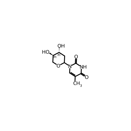 Cc1cn(C2C[C@@H](O)[C@H](O)CO2)c(=O)[nH]c1=O